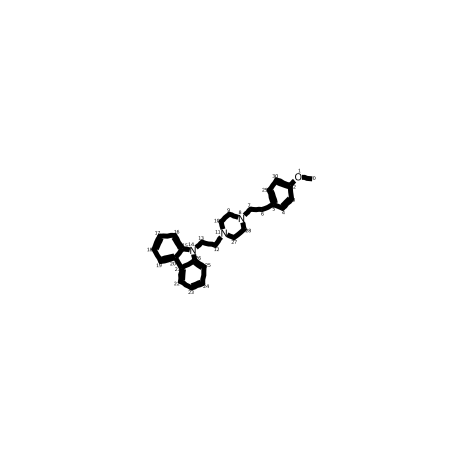 COc1ccc(CCN2CCN(CCn3c4ccccc4c4ccccc43)CC2)cc1